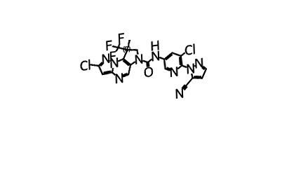 C[C@@]1(C(F)(F)F)CN(C(=O)Nc2cnc(-n3nccc3C#N)c(Cl)c2)c2cnc3cc(Cl)nn3c21